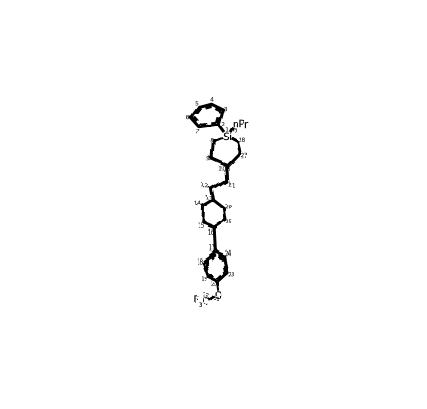 CCC[Si]1(c2ccccc2)CCC(CCC2CCC(c3ccc(OC(F)(F)F)cc3)CC2)CC1